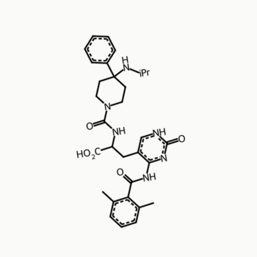 Cc1cccc(C)c1C(=O)Nc1nc(=O)[nH]cc1CC(NC(=O)N1CCC(NC(C)C)(c2ccccc2)CC1)C(=O)O